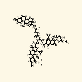 COc1c(N2CCNC(C)C2)c(F)cc2c(=O)c(C(=O)OCC(COC(=O)c3cn(C4CC4)c4c(OC)c(N5CCNC(C)C5)c(F)cc4c3=O)OC(=O)CCC(=O)OCC(=O)[C@@]3(O)CCC4C5CCC6=CC(=O)C=C[C@]6(C)C5[C@@H](O)C[C@@]43C)cn(C3CC3)c12